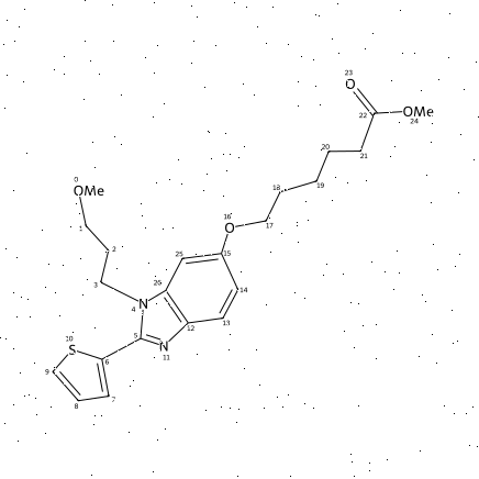 COCCCn1c(-c2cccs2)nc2ccc(OCCCCCC(=O)OC)cc21